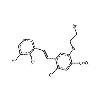 O=Cc1cc(Cl)c(C=Cc2cccc(Br)c2Cl)cc1OCCBr